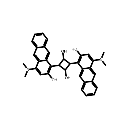 CN(C)c1cc(O)c(C2C(O)C(c3c(O)cc(N(C)C)c4cc5ccccc5cc34)C2O)c2cc3ccccc3cc12